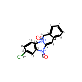 O=[N+]1C2=Cc3ccccc3C[N+]2([O-])c2ccc(Cl)cc21